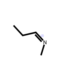 CC/C=N\C